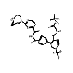 C[C@@H](NC(=O)c1ccnc(N2CCNCC2)n1)c1ccc(-c2cc(C(F)(F)F)ccc2CNC(=O)OC(C)(C)C)cc1